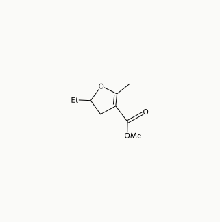 CCC1CC(C(=O)OC)=C(C)O1